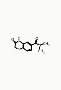 CN(C)C(=O)c1ccc2c(c1)NC(=O)CS2